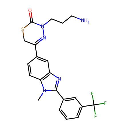 Cn1c(-c2cccc(C(F)(F)F)c2)nc2cc(C3=NN(CCCN)C(=O)SC3)ccc21